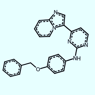 c1ccc(COc2ccc(Nc3nccc(-c4cnc5ccccn45)n3)cc2)cc1